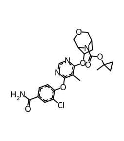 Cc1c(Oc2ccc(C(N)=O)cc2Cl)ncnc1OC1CC2COCC1N2C(=O)OC1(C)CC1